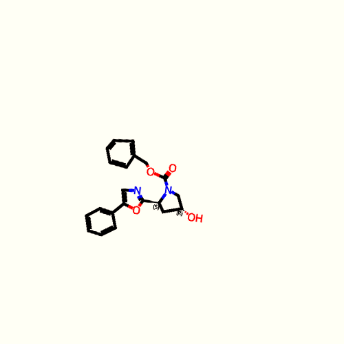 O=C(OCc1ccccc1)N1C[C@H](O)C[C@H]1c1ncc(-c2ccccc2)o1